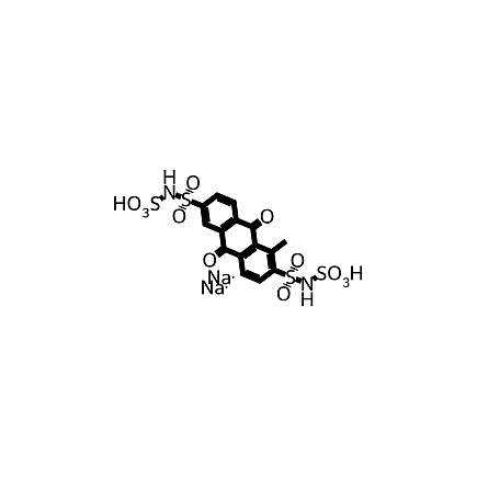 Cc1c(S(=O)(=O)NS(=O)(=O)O)ccc2c1C(=O)c1ccc(S(=O)(=O)NS(=O)(=O)O)cc1C2=O.[Na].[Na]